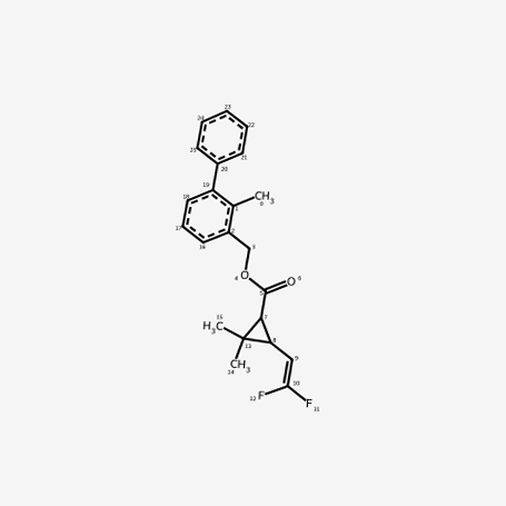 Cc1c(COC(=O)C2C(C=C(F)F)C2(C)C)cccc1-c1ccccc1